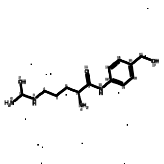 NC(O)NCCC[C@H](N)C(=O)Nc1ccc(CO)cc1